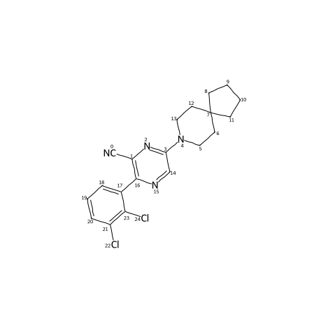 N#Cc1nc(N2CCC3(CCCC3)CC2)cnc1-c1cccc(Cl)c1Cl